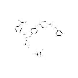 CCS(=O)(=O)N[C@H](COc1cccc(C(=N)N)c1)Cc1ccc(OC2CCN(C(=O)OCc3ccccc3)CC2)cc1.O=C(O)C(F)(F)F